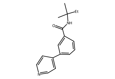 CCC(C)(C)NC(=O)c1cccc(-c2ccncc2)c1